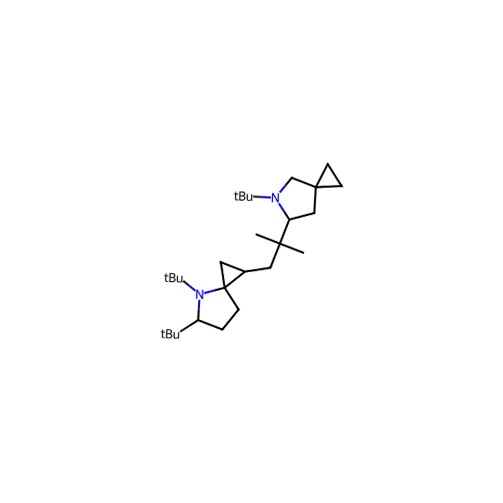 CC(C)(C)C1CCC2(CC2CC(C)(C)C2CC3(CC3)CN2C(C)(C)C)N1C(C)(C)C